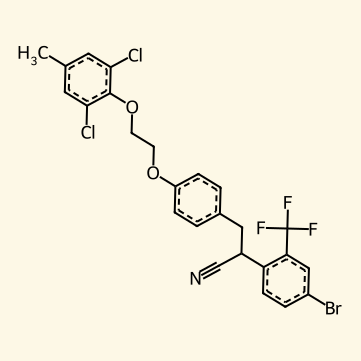 Cc1cc(Cl)c(OCCOc2ccc(CC(C#N)c3ccc(Br)cc3C(F)(F)F)cc2)c(Cl)c1